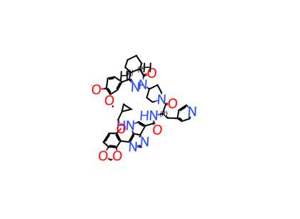 COc1ccc(C2=NN(C3CCN(C(=O)[C@@H](Cc4ccncc4)NC(=O)c4c[nH]c5c(-c6c(OCC7CC7)ccc7c6OCO7)ncnc45)CC3)C(=O)[C@@H]3CCCC[C@H]23)cc1OC